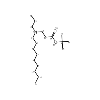 [CH2]CCN(CCCCCCCCC)CCC(=O)OC(C)(C)C